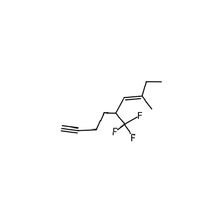 C#CCCC(/C=C(\C)CC)C(F)(F)F